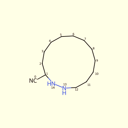 N#CC1CCCCCCCCCCCNN1